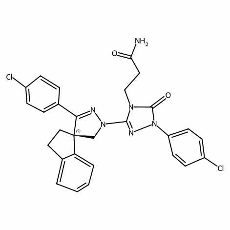 NC(=O)CCn1c(N2C[C@@]3(CCc4ccccc43)C(c3ccc(Cl)cc3)=N2)nn(-c2ccc(Cl)cc2)c1=O